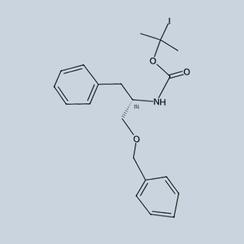 CC(C)(I)OC(=O)N[C@H](COCc1ccccc1)Cc1ccccc1